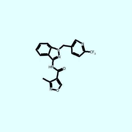 Cc1nocc1C(=O)Nc1nn(Cc2ccc(C(F)(F)F)nc2)c2ccccc12